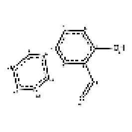 O=Cc1ccccc1O.c1ccncc1